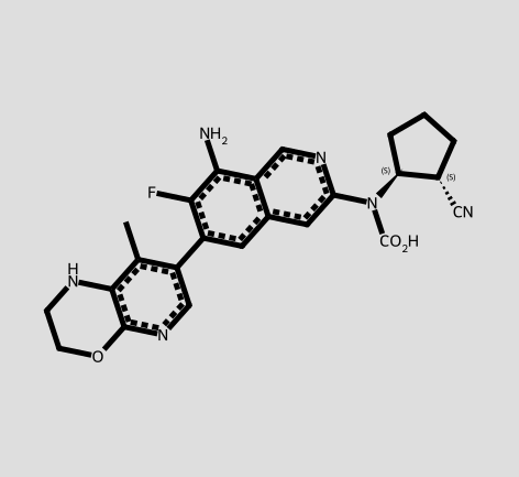 Cc1c(-c2cc3cc(N(C(=O)O)[C@H]4CCC[C@@H]4C#N)ncc3c(N)c2F)cnc2c1NCCO2